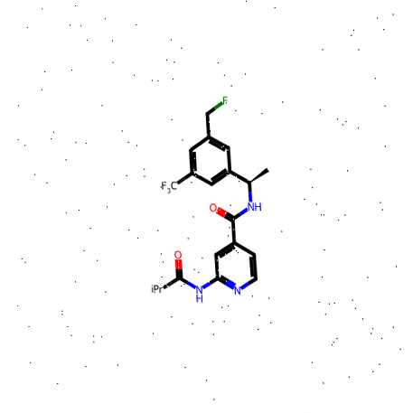 CC(C)C(=O)Nc1cc(C(=O)N[C@H](C)c2cc(CF)cc(C(F)(F)F)c2)ccn1